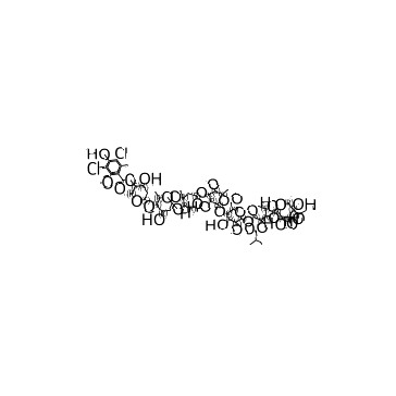 COC[C@H]1O[C@@H](O[C@@H]2OC[C@@H]3O[C@]4(O[C@H]3[C@H]2OC(=O)C(C)C)O[C@H](C)[C@@](O)(C(C)=O)[C@@H]2OCO[C@H]24)[C@@H](OC)[C@H](O)[C@@H]1O[C@@H]1O[C@H](C)[C@H](OC)[C@H](O[C@H]2C[C@@]3(C)OC4(C[C@@H](O)[C@H](O[C@H]5C[C@@H](O)[C@H](OC(=O)c6c(C)c(Cl)c(O)c(Cl)c6OC)[C@@H](C)O5)[C@@H](C)O4)O[C@@H]3[C@@H](C)O2)[C@H]1O